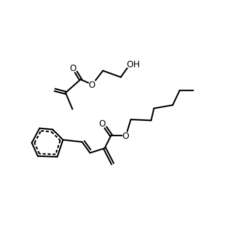 C=C(C)C(=O)OCCO.C=C(C=Cc1ccccc1)C(=O)OCCCCCC